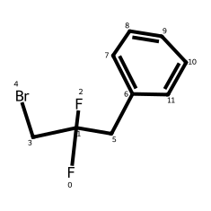 FC(F)(CBr)Cc1ccccc1